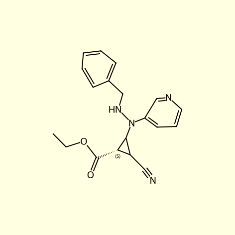 CCOC(=O)[C@H]1C(C#N)C1N(NCc1ccccc1)c1cccnc1